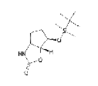 CC(C)(C)[Si](C)(C)O[C@@H]1CCC2NC(=O)O[C@H]21